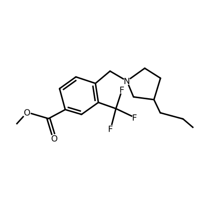 CCCC1CCN(Cc2ccc(C(=O)OC)cc2C(F)(F)F)C1